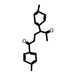 CC(=O)C(CCC(=O)c1ccc(C)cc1)c1ccc(C)cc1